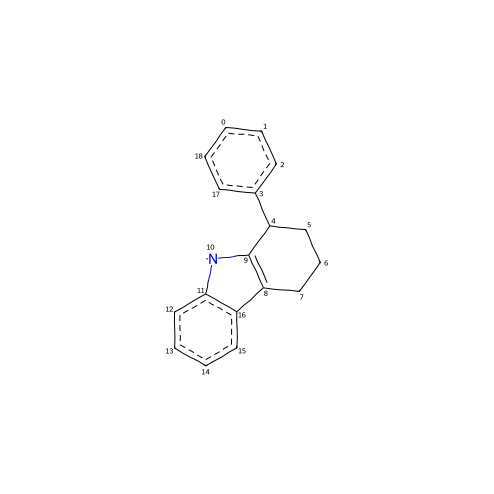 c1ccc(C2CCCC3=C2[N]c2ccccc23)cc1